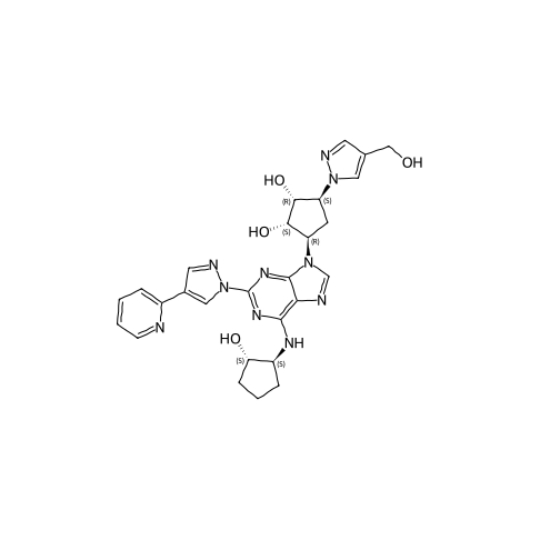 OCc1cnn([C@H]2C[C@@H](n3cnc4c(N[C@H]5CCC[C@@H]5O)nc(-n5cc(-c6ccccn6)cn5)nc43)[C@H](O)[C@@H]2O)c1